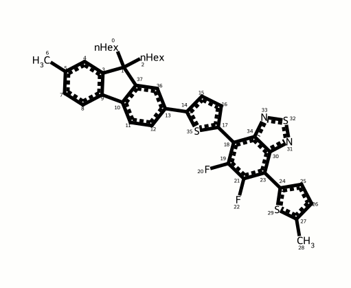 CCCCCCC1(CCCCCC)c2cc(C)ccc2-c2ccc(-c3ccc(-c4c(F)c(F)c(-c5ccc(C)s5)c5nsnc45)s3)cc21